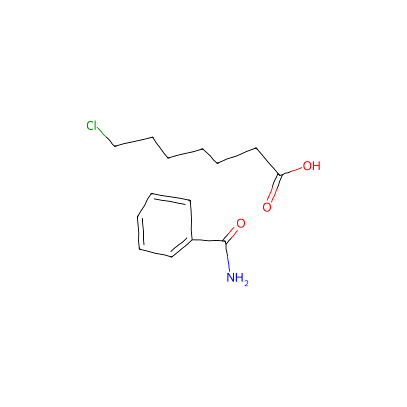 NC(=O)c1ccccc1.O=C(O)CCCCCCCl